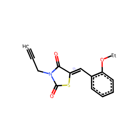 C#CCN1C(=O)S/C(=C\c2ccccc2OCC)C1=O